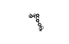 Cc1cc(C(=O)C[C@H](c2ccc(C3=CCN(C(=O)OC(C)(C)C)CC3)cc2)c2ccccc2C)ccn1